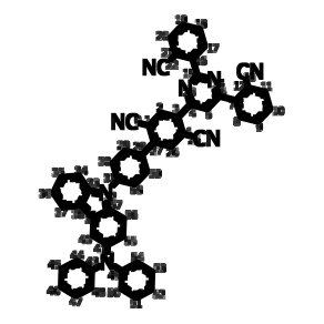 N#Cc1cc(-c2cc(-c3ccccc3C#N)nc(-c3ccccc3C#N)n2)c(C#N)cc1-c1ccc(-n2c3ccccc3c3cc(N(c4ccccc4)c4ccccc4)ccc32)cc1